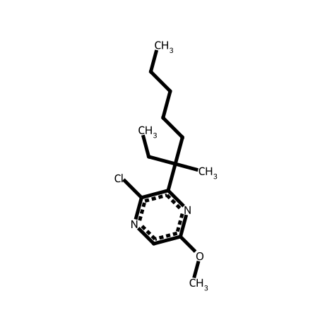 CCCCCC(C)(CC)c1nc(OC)cnc1Cl